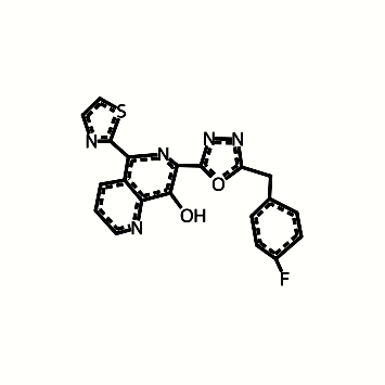 Oc1c(-c2nnc(Cc3ccc(F)cc3)o2)nc(-c2nccs2)c2cccnc12